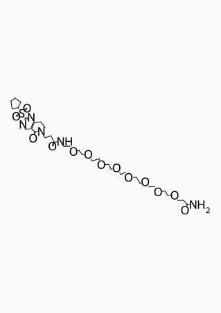 NC(=O)CCOCCOCCOCCOCCOCCOCCOCCOCCNC(=O)CCN1CCc2nc(S(=O)(=O)C3CCCC3)ncc2C1=O